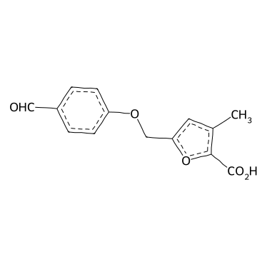 Cc1cc(COc2ccc(C=O)cc2)oc1C(=O)O